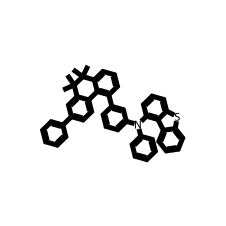 CC1(C)c2cc(-c3ccccc3)ccc2-c2c(-c3cccc(N(c4ccccc4)c4cccc5sc6ccccc6c45)c3)cccc2C1(C)C